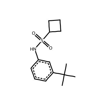 CC(C)(C)c1cccc(NS(=O)(=O)C2CCC2)c1